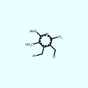 COc1nc(C(F)(F)F)c(CCl)c(CC(C)C)c1C(=O)O